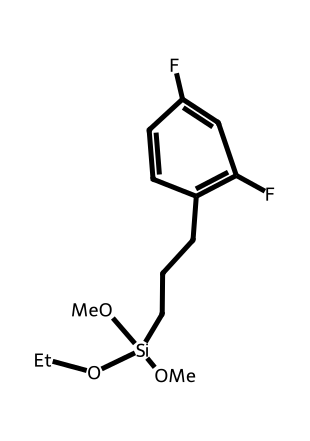 CCO[Si](CCCc1ccc(F)cc1F)(OC)OC